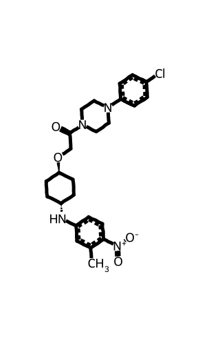 Cc1cc(N[C@H]2CC[C@H](OCC(=O)N3CCN(c4ccc(Cl)cc4)CC3)CC2)ccc1[N+](=O)[O-]